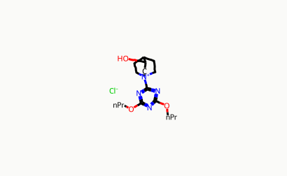 CCCOc1nc(OCCC)nc([N+]23CCC(CC2)C(O)C3)n1.[Cl-]